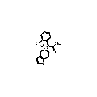 COC(=O)C(c1ccccc1Cl)[N@@+]1([O-])CCc2sccc2C1